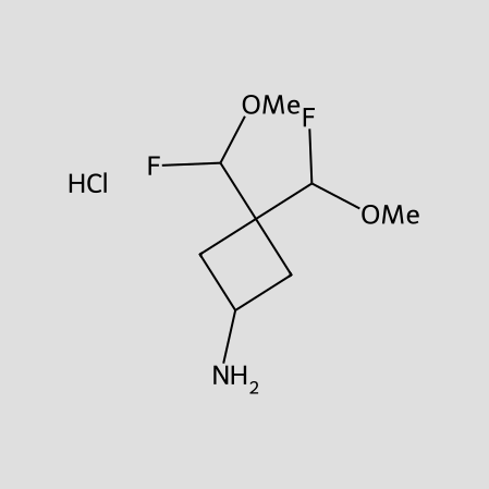 COC(F)C1(C(F)OC)CC(N)C1.Cl